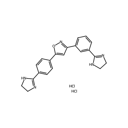 Cl.Cl.c1cc(C2=NCCN2)cc(-c2cc(-c3ccc(C4=NCCN4)cc3)on2)c1